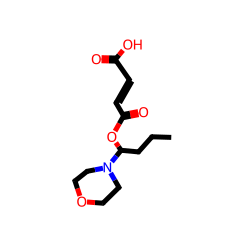 CCCC(OC(=O)C=CC(=O)O)N1CCOCC1